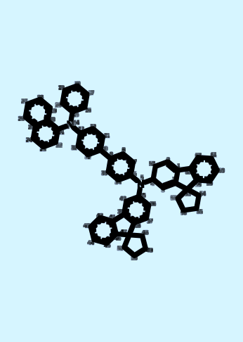 C1=C2C(=CC(N(c3ccc(-c4ccc(N(c5ccccc5)c5cccc6ccccc56)cc4)cc3)c3ccc4c(c3)-c3ccccc3C43CCCC3)C1)C1(CCCC1)c1ccccc12